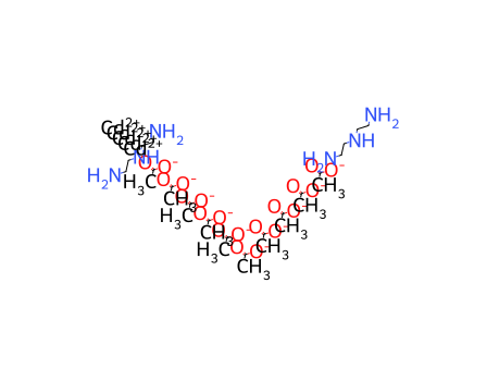 CC(=O)[O-].CC(=O)[O-].CC(=O)[O-].CC(=O)[O-].CC(=O)[O-].CC(=O)[O-].CC(=O)[O-].CC(=O)[O-].CC(=O)[O-].CC(=O)[O-].NCCNCCN.NCCNCCN.[Cd+2].[Cd+2].[Cd+2].[Cd+2].[Cd+2]